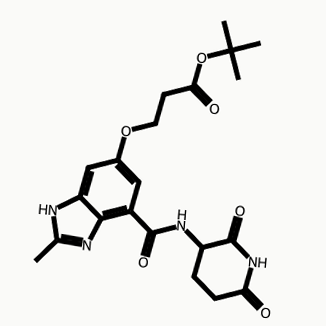 Cc1nc2c(C(=O)NC3CCC(=O)NC3=O)cc(OCCC(=O)OC(C)(C)C)cc2[nH]1